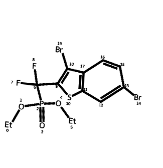 CCOP(=O)(OCC)C(F)(F)c1sc2cc(Br)ccc2c1Br